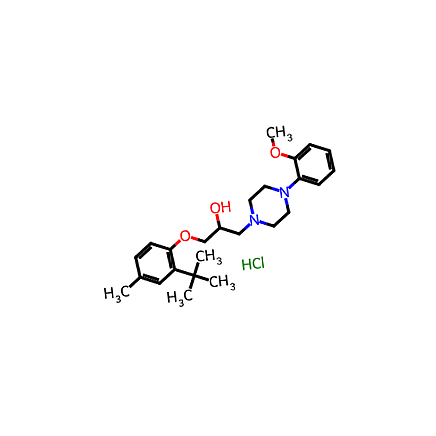 COc1ccccc1N1CCN(CC(O)COc2ccc(C)cc2C(C)(C)C)CC1.Cl